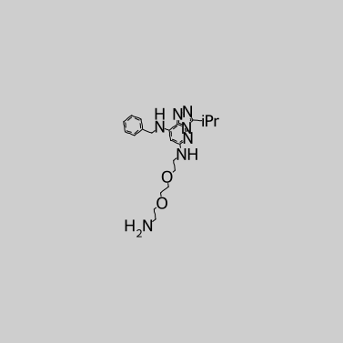 CC(C)c1nnc2c(NCc3ccccc3)cc(NCCOCCOCCN)nn12